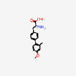 COc1ccc(-c2ccc(C[C@H](N)C(=O)O)cc2)c(C)c1